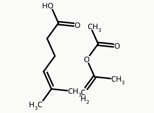 C=C(C)OC(C)=O.CC(C)=CCCC(=O)O